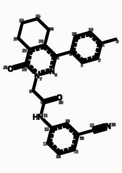 Cc1ccc(-c2nn(CC(=O)Nc3cccc(C#N)c3)c(=O)c3c2CCCC3)cc1